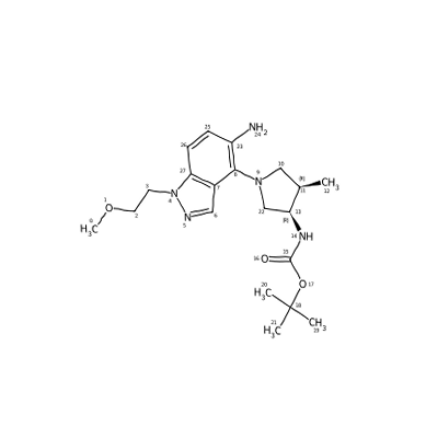 COCCn1ncc2c(N3C[C@@H](C)[C@@H](NC(=O)OC(C)(C)C)C3)c(N)ccc21